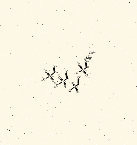 O=CS(=O)(=O)[O-].O=CS(=O)(=O)[O-].O=CS(=O)(=O)[O-].O=CS(=O)(=O)[O-].[Cu+2].[Mg+2]